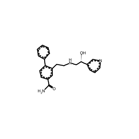 NC(=O)c1ccc(-c2ccccc2)c(CCNC[C@H](O)c2cccnc2)c1